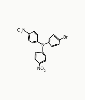 O=[N+]([O-])c1ccc(N(c2ccc(Br)cc2)c2ccc([N+](=O)[O-])cc2)cc1